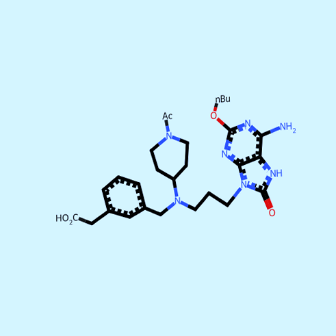 CCCCOc1nc(N)c2[nH]c(=O)n(CCCN(Cc3cccc(CC(=O)O)c3)C3CCN(C(C)=O)CC3)c2n1